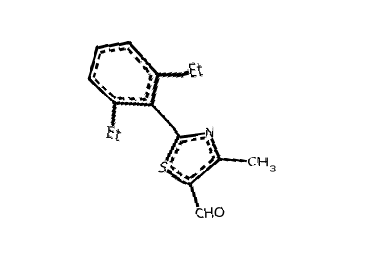 CCc1cccc(CC)c1-c1nc(C)c(C=O)s1